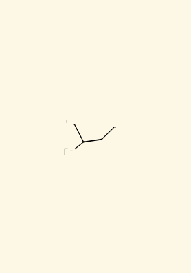 [CH2]CC(Cl)CC([CH2])C